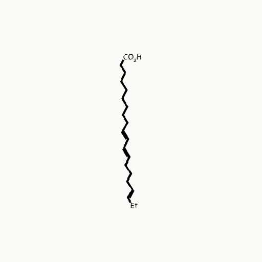 CCC=CCCCC=CC=CCCCCCCCCC(=O)O